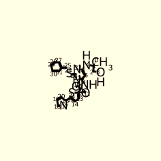 C[C@H](CO)Nc1cc(NS(=O)(=O)c2ccc(C3=NCC=C3)s2)nc(SCc2ccccc2)n1